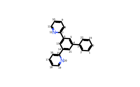 c1ccc(-c2cc(-c3ccccn3)cc(-c3ccccn3)c2)cc1